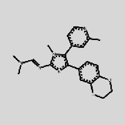 Cc1cc(-c2c(-c3ccc4c(c3)OCCO4)nc(N=CN(C)C)n2C)ccn1